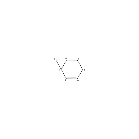 C1=CC2CC2CC1